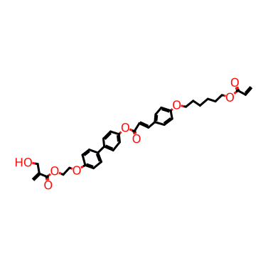 C=CC(=O)OCCCCCCOc1ccc(/C=C/C(=O)Oc2ccc(-c3ccc(OCCOC(=O)C(=C)CO)cc3)cc2)cc1